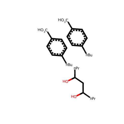 CCCC(O)CC(O)CCC.CCCCc1ccc(C(=O)O)cc1.CCCCc1ccc(C(=O)O)cc1